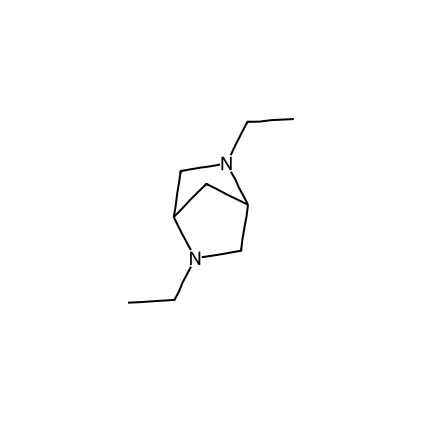 CCN1CC2CC1CN2CC